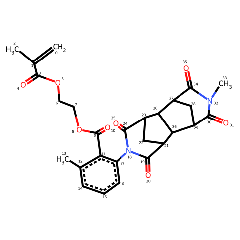 C=C(C)C(=O)OCCOC(=O)c1c(C)cccc1N1C(=O)C2CC(C1=O)C1C3CC(C(=O)N(C)C3=O)C21